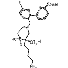 COc1cccc(-c2cc(F)ccc2CN2CCP(=O)(O)[C@](CCCCN)(C(=O)O)C2)n1